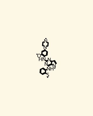 COc1cc(N2CCN(C)CC2)ccc1Nc1nc(Nc2ccccc2SC)c2c(ccn2C)n1